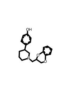 Oc1ccc(C2CCCN(CC3COc4ccccc4O3)C2)cc1